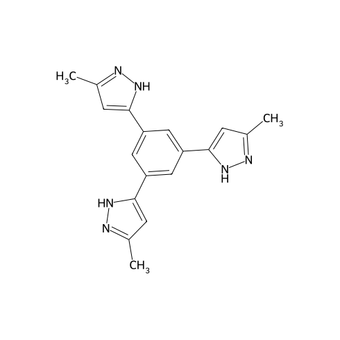 Cc1cc(-c2cc(-c3cc(C)n[nH]3)cc(-c3cc(C)n[nH]3)c2)[nH]n1